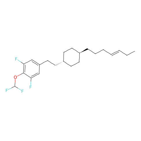 CC/C=C/CCC[C@H]1CC[C@H](CCc2cc(F)c(OC(F)F)c(F)c2)CC1